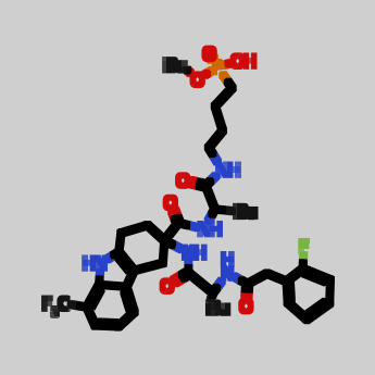 CCC(C)OP(=O)(O)CCCCNC(=O)C(NC(=O)C1(NC(=O)C(NC(=O)Cc2ccccc2F)C(C)CC)CCc2[nH]c3c(C(F)(F)F)cccc3c2C1)C(C)CC